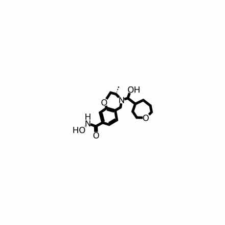 C[C@H]1COc2cc(C(=O)NO)ccc2CN1C(O)C1CCCOCC1